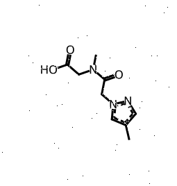 Cc1cnn(CC(=O)N(C)CC(=O)O)c1